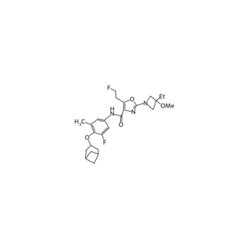 CCC1(OC)CN(c2nc(C(=O)Nc3cc(C)c(OC4CC5CC(C5)C4)c(F)c3)c(CCF)o2)C1